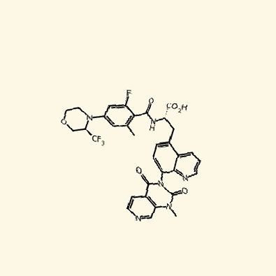 Cc1cc(N2CCOC[C@@H]2C(F)(F)F)cc(F)c1C(=O)N[C@@H](Cc1ccc(-n2c(=O)c3ccncc3n(C)c2=O)c2ncccc12)C(=O)O